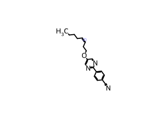 CCCC/C=C\CCOc1cnc(-c2ccc(C#N)cc2)nc1